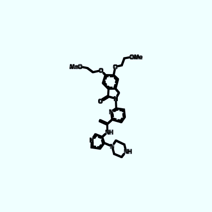 C=C(Nc1cnccc1N1CCNCC1)c1cccc(N2Cc3cc(OCCOC)c(OCCOC)cc3C2=O)n1